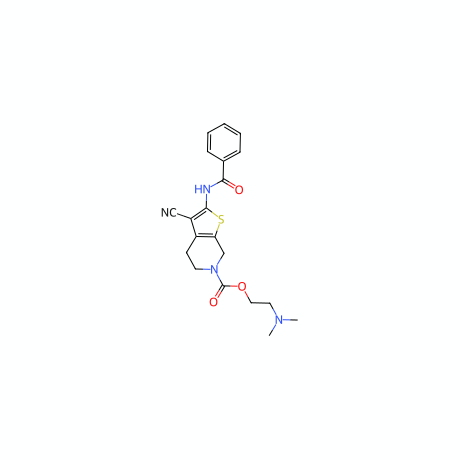 CN(C)CCOC(=O)N1CCc2c(sc(NC(=O)c3ccccc3)c2C#N)C1